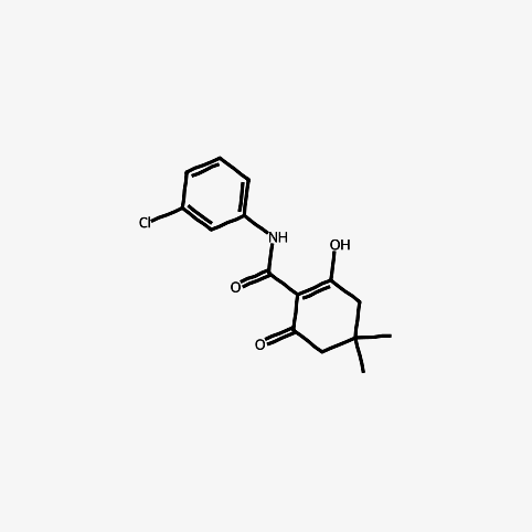 CC1(C)CC(=O)C(C(=O)Nc2cccc(Cl)c2)=C(O)C1